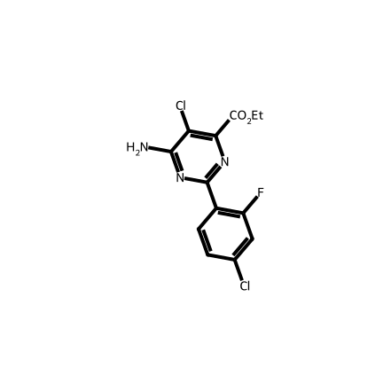 CCOC(=O)c1nc(-c2ccc(Cl)cc2F)nc(N)c1Cl